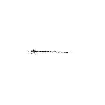 COCCOCCOCCOCCOCCOCCOCCOCCOCCOCCOCCOCCC[Si](C)(O[Si](C)(C)C)O[Si](C)(C)O[Si](C)(C)C